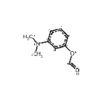 CN(C)c1cccc(O[C]=O)c1